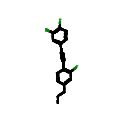 CCCc1ccc(C#Cc2ccc(F)c(F)c2)c(F)c1